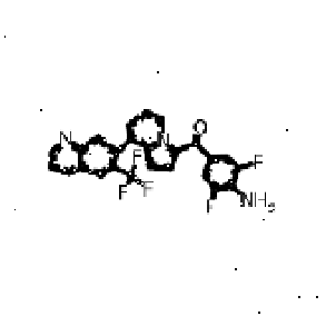 Nc1c(F)cc(C(=O)c2ccc3c(-c4cc5ncccc5cc4C(F)(F)F)cccn23)cc1F